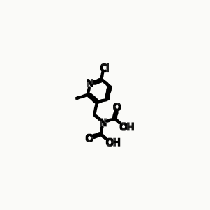 Cc1nc(Cl)ccc1CN(C(=O)O)C(=O)O